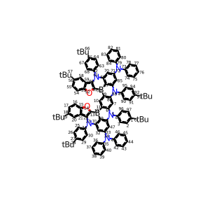 CC(C)(C)c1ccc(N2c3cc4c(cc3B3c5oc6ccc(C(C)(C)C)cc6c5N(c5ccc(C(C)(C)C)cc5)c5cc(N(c6ccccc6)c6ccccc6)cc2c53)B2c3oc5ccc(C(C)(C)C)cc5c3N(c3ccc(C(C)(C)C)cc3)c3cc(N(c5ccccc5)c5ccccc5)cc(c32)N4c2ccc(C(C)(C)C)cc2)cc1